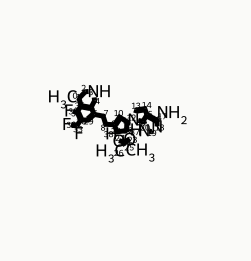 CC1CNCc2c(CCC3=C[C@@H](n4ccc5c(N)ncnc54)[C@@H]4OC(C)(C)O[C@H]34)cc(C(F)F)c(F)c21